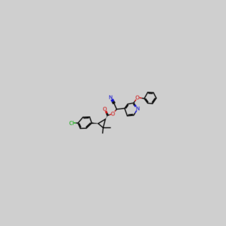 CC1(C)[C@@H](C(=O)OC(C#N)c2ccnc(Oc3ccccc3)c2)[C@@H]1c1ccc(Cl)cc1